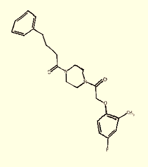 Cc1cc(F)ccc1OCC(=O)N1CCN(C(=O)CCCc2ccccc2)CC1